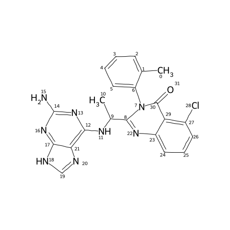 Cc1ccccc1-n1c(C(C)Nc2nc(N)nc3[nH]cnc23)nc2cccc(Cl)c2c1=O